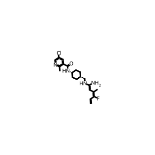 C=C/C(F)=C(C)\C=C(/N)NC[C@H]1CC[C@H](NC(=O)c2cc(Cl)cnc2C)CC1